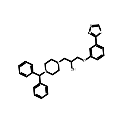 OC(COc1cccc(-c2nncs2)c1)CN1CCN(C(c2ccccc2)c2ccccc2)CC1